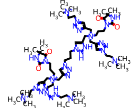 CC1(C)NC(=O)N(CCC[N+](CC/N=N\NCC[N+](C)(C)C)(Cc2cn(CCCN3C=C(C[N+](CCCN4C(=O)NC(C)(C)C4=O)(Cc4cn(CC[N+](C)(C)C)nn4)Cc4cn(CC[N+](C)(C)C)nn4)NN3)nn2)Cc2cn(CC[N+](C)(C)C)nn2)C1=O